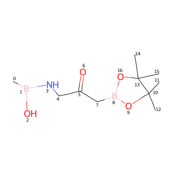 CB(O)NCC(=O)CB1OC(C)(C)C(C)(C)O1